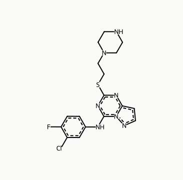 Fc1ccc(Nc2nc(SCCN3CCNCC3)nc3ccnn23)cc1Cl